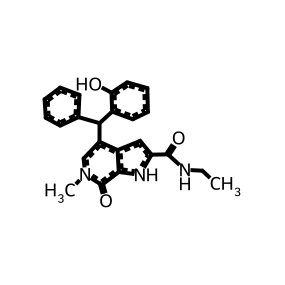 CCNC(=O)c1cc2c(C(c3ccccc3)c3ccccc3O)cn(C)c(=O)c2[nH]1